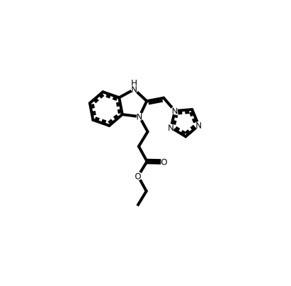 CCOC(=O)CCN1C(=Cn2cncn2)Nc2ccccc21